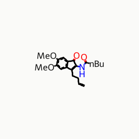 C=CCCC1=C(NC(=O)CCCC)C(=O)c2cc(OC)c(OC)cc21